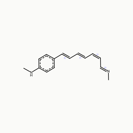 C/N=C/C=C\C=C\C=C\c1ccc(NC)cc1